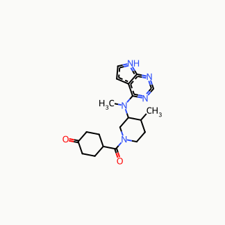 CC1CCN(C(=O)C2CCC(=O)CC2)CC1N(C)c1ncnc2[nH]ccc12